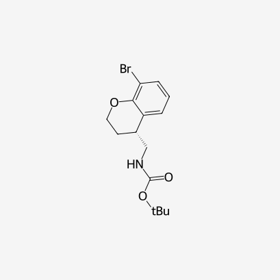 CC(C)(C)OC(=O)NC[C@@H]1CCOc2c(Br)cccc21